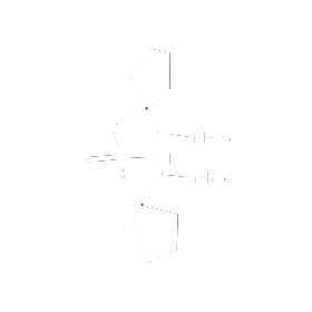 CCCCCCOC1(OP(=O)(O)OC2(OCCCCCC)CCCO2)CCCO1